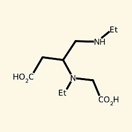 CCNCC(CC(=O)O)N(CC)CC(=O)O